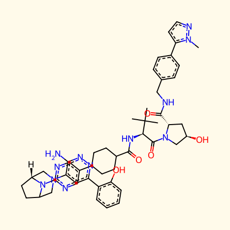 Cn1nccc1-c1ccc(CNC(=O)[C@@H]2C[C@@H](O)CN2C(=O)[C@@H](NC(=O)C2CCC(c3cnc(N4C5CC[C@@H]4CN(c4cc(-c6ccccc6O)nnc4N)C5)nc3)CC2)C(C)(C)C)cc1